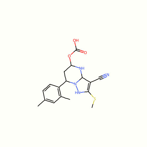 CSC1=C(C#N)C2NC(OC(=O)O)CC(c3ccc(C)cc3C)N2N1